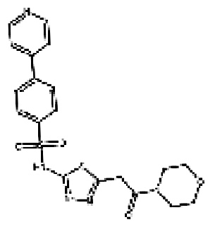 O=C(Cc1nnc(NS(=O)(=O)c2ccc(-c3ccncc3)cc2)s1)N1CCOCC1